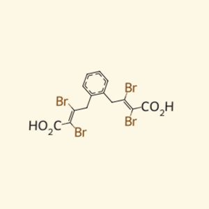 O=C(O)C(Br)=C(Br)Cc1ccccc1CC(Br)=C(Br)C(=O)O